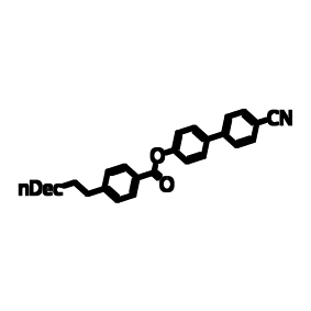 CCCCCCCCCCCCc1ccc(C(=O)Oc2ccc(-c3ccc(C#N)cc3)cc2)cc1